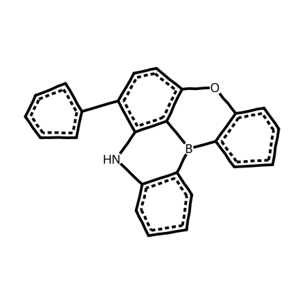 c1ccc(-c2ccc3c4c2Nc2ccccc2B4c2ccccc2O3)cc1